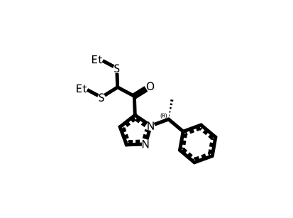 CCSC(SCC)C(=O)c1ccnn1[C@H](C)c1ccccc1